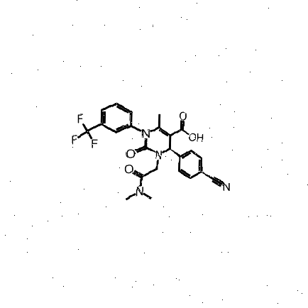 CC1=C(C(=O)O)[C@@H](c2ccc(C#N)cc2)N(CC(=O)N(C)C)C(=O)N1c1cccc(C(F)(F)F)c1